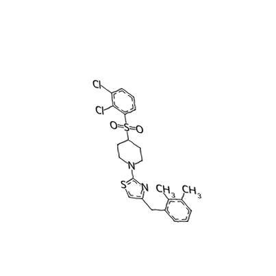 Cc1cccc(Cc2csc(N3CCC(S(=O)(=O)c4cccc(Cl)c4Cl)CC3)n2)c1C